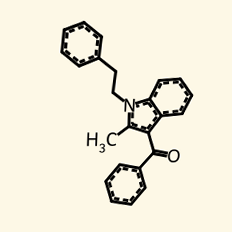 Cc1c(C(=O)c2ccccc2)c2ccccc2n1CCc1ccccc1